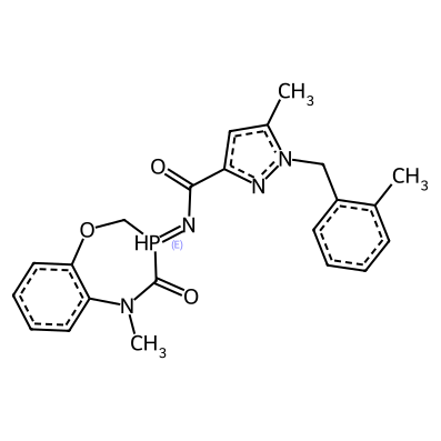 Cc1ccccc1Cn1nc(C(=O)/N=[PH]2\COc3ccccc3N(C)C2=O)cc1C